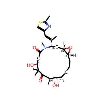 CC(=Cc1csc(C)n1)[C@@H]1C[C@@H]2O[C@@H]2CCC[C@H](C)[C@H](O)[C@@H](C)C(=O)C(C)(C)[C@@H](O)CC(=O)N1C